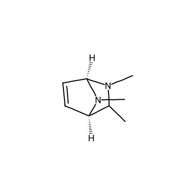 CC1[C@H]2C=C[C@@H](N1C)N2C